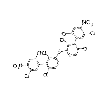 O=[N+]([O-])c1cc(Cl)c(-c2c(Cl)ccc(Sc3ccc(Cl)c(-c4cc(Cl)c([N+](=O)[O-])cc4Cl)c3Cl)c2Cl)cc1Cl